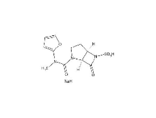 CN(C(=O)N1CC[C@@H]2[C@H]1C(=O)N2S(=O)(=O)O)c1ccco1.[NaH]